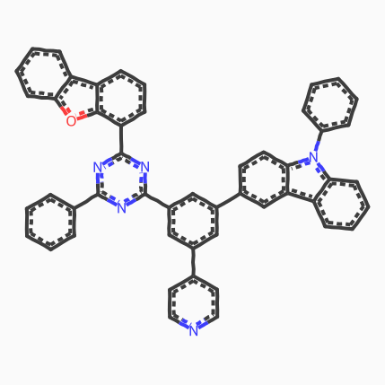 c1ccc(-c2nc(-c3cc(-c4ccncc4)cc(-c4ccc5c(c4)c4ccccc4n5-c4ccccc4)c3)nc(-c3cccc4c3oc3ccccc34)n2)cc1